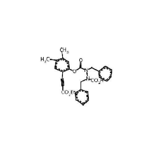 CCOC(=O)C#Cc1cc(C)c(C)cc1OC(=O)N(Cc1ccccc1)N(Cc1ccccc1)C(=O)O